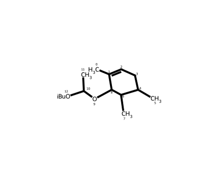 CC1=CCC(C)C(C)C1OC(C)OCC(C)C